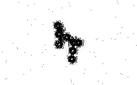 C1=C(c2nc(-c3ccc(-c4ccccc4)cc3)c3ccccc3n2)C=C2C(C1)c1c(ccc3c1sc1ccccc13)N2c1ccccc1